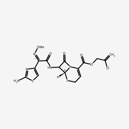 C=C(Cl)COC(=O)C1=CCS[C@@H]2C(NC(=O)/C(=N\OC)c3csc(N)n3)C(=O)N12